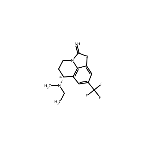 CCN(C)[C@@H]1CCn2c(=N)sc3cc(C(F)(F)F)cc1c32